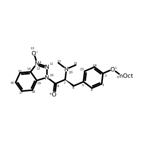 CCCCCCCCOc1ccc(C[C@@H](C(=O)n2n[n+]([O-])c3ccccc32)N(C)C)cc1